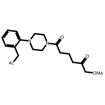 COCC(=O)CCCC(=O)N1CCN(c2ccccc2CC(C)=O)CC1